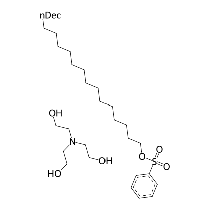 CCCCCCCCCCCCCCCCCCCCCCCCOS(=O)(=O)c1ccccc1.OCCN(CCO)CCO